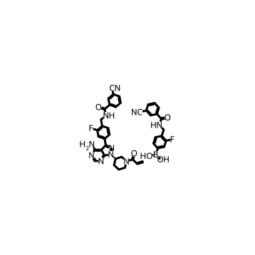 C=CC(=O)N1CCC[C@@H](n2nc(-c3ccc(CNC(=O)c4cccc(C#N)c4)c(F)c3)c3c(N)ncnc32)C1.N#Cc1cccc(C(=O)NCc2ccc(B(O)O)cc2F)c1